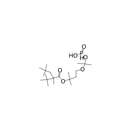 CC(C)(C)CC(C)(C(=O)OC(C)(C)CCOC(C)(C)O[PH](=O)O)C(C)(C)C